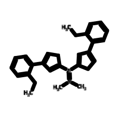 CCc1ccccc1C1=CC[C]([Zr]([C]2=CC(c3ccccc3CC)=CC2)=[Si](C)C)=C1